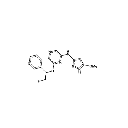 COc1cc(Nc2cncc(O[C@@H](CF)c3cccnc3)n2)n[nH]1